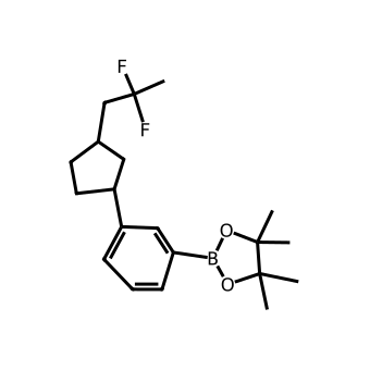 CC(F)(F)CC1CCC(c2cccc(B3OC(C)(C)C(C)(C)O3)c2)C1